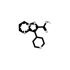 NC(=O)c1nn2cccnc2c1C1CCOCC1